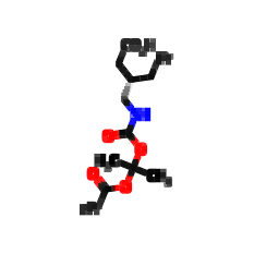 CCCC(=O)OC(C)(C)OC(=O)NC[C@H](CC(=O)O)CC(C)C